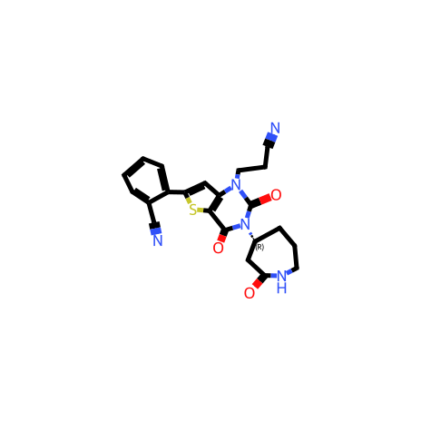 N#CCCn1c(=O)n([C@@H]2CCCNC(=O)C2)c(=O)c2sc(-c3ccccc3C#N)cc21